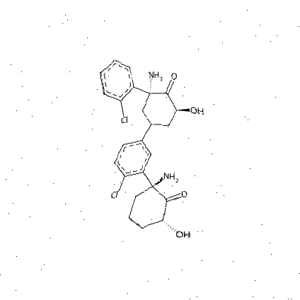 N[C@]1(c2cc(C3C[C@H](O)C(=O)[C@](N)(c4ccccc4Cl)C3)ccc2Cl)CCC[C@@H](O)C1=O